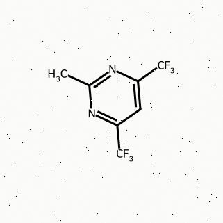 Cc1nc(C(F)(F)F)cc(C(F)(F)F)n1